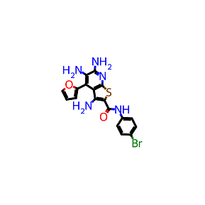 Nc1nc2sc(C(=O)Nc3ccc(Br)cc3)c(N)c2c(-c2ccco2)c1N